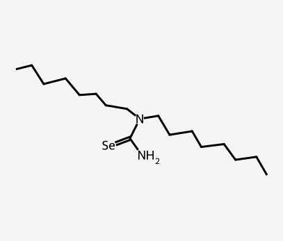 CCCCCCCCN(CCCCCCCC)C(N)=[Se]